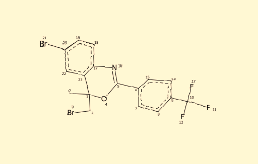 CC1(CBr)OC(c2ccc(C(F)(F)F)cc2)=Nc2ccc(Br)cc21